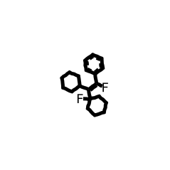 FC(=C(C1CCCCC1)C1(F)CCCCC1)c1ccccc1